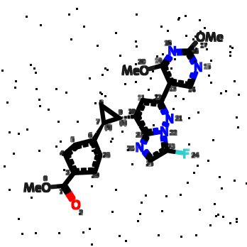 COC(=O)c1ccc([C@H]2C[C@@H]2c2cc(-c3cnc(OC)nc3OC)nn3c(F)cnc23)cc1